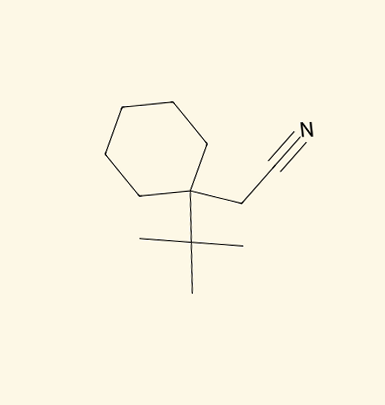 CC(C)(C)C1(CC#N)CCCCC1